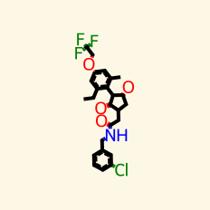 CCc1cc(OCC(F)(F)F)cc(C)c1C1C(=O)CC(CC(=O)NCc2cccc(Cl)c2)C1=O